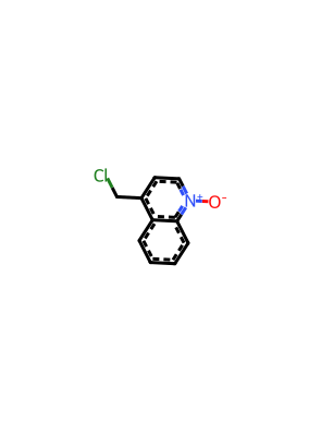 [O-][n+]1ccc(CCl)c2ccccc21